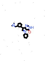 CN(C)Cc1cccc(-c2cn(-c3ccccc3)c3c(=O)[nH]cnc23)c1